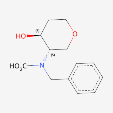 O=C(O)N(Cc1ccccc1)[C@H]1COCC[C@@H]1O